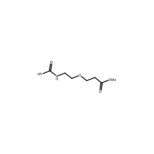 CCCC(=O)NCCOCCC(=O)OC